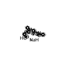 COc1cc(Cn2c3ccccc3c3c(Oc4cccc(C(=O)O)c4)cccc32)ccc1OCc1nc(-c2ccccc2)oc1C.[NaH]